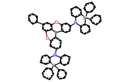 c1ccc(-c2cc3c4c(c2)Oc2cc(N5c6ccccc6[Si](c6ccccc6)(c6ccccc6)c6ccccc65)ccc2B4c2ccc(N4c5ccccc5[Si](c5ccccc5)(c5ccccc5)c5ccccc54)cc2O3)cc1